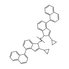 CS(C)(C1C(C2CC2)=Cc2c(-c3cccc4ccccc34)cccc21)C1C(C2CC2)=Cc2c(-c3cccc4ccccc34)cccc21